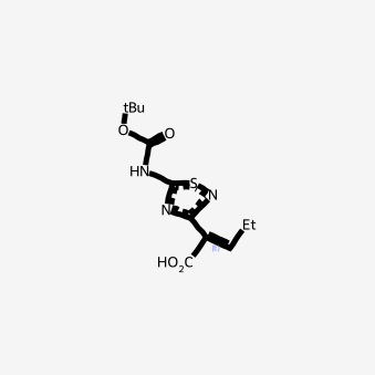 CC/C=C(/C(=O)O)c1nsc(NC(=O)OC(C)(C)C)n1